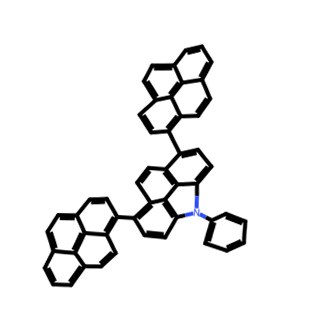 c1ccc(-n2c3ccc(-c4ccc5ccc6cccc7ccc4c5c67)c4ccc5c(-c6ccc7ccc8cccc9ccc6c7c89)ccc2c5c43)cc1